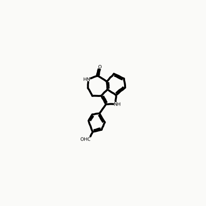 O=Cc1ccc(-c2[nH]c3cccc4c3c2CCNC4=O)cc1